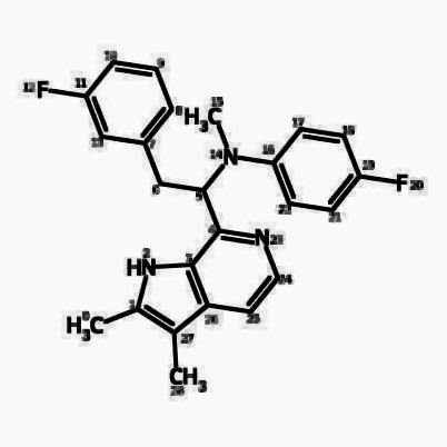 Cc1[nH]c2c(C(Cc3cccc(F)c3)N(C)c3ccc(F)cc3)nccc2c1C